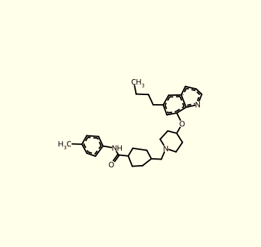 CCCCc1cc(OC2CCN(CC3CCC(C(=O)Nc4ccc(C)cc4)CC3)CC2)c2ncccc2c1